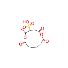 O=C1CCCCC(=O)OC(=O)C(S(=O)(=O)O)CC(=O)O1